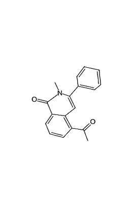 CC(=O)c1cccc2c(=O)n(C)c(-c3ccccc3)cc12